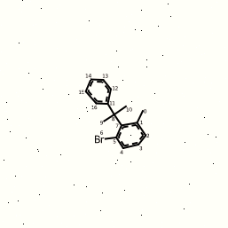 Cc1cccc(Br)c1C(C)(C)c1ccccc1